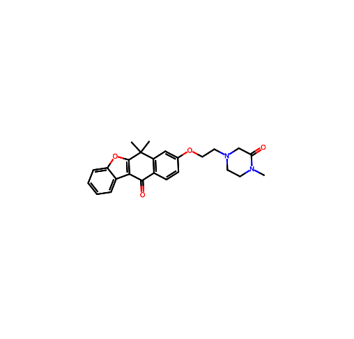 CN1CCN(CCOc2ccc3c(c2)C(C)(C)c2oc4ccccc4c2C3=O)CC1=O